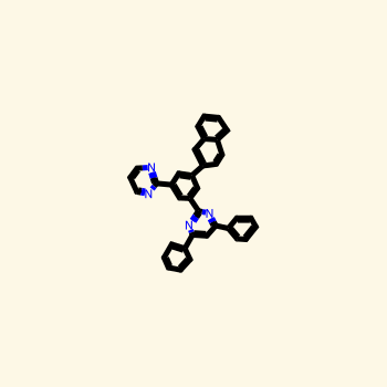 c1ccc(-c2cc(-c3ccccc3)nc(-c3cc(-c4ccc5ccccc5c4)cc(-c4ncccn4)c3)n2)cc1